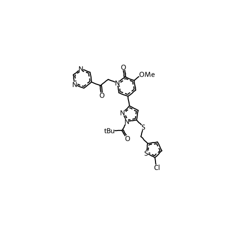 COc1cc(-c2cc(SCc3ccc(Cl)s3)n(C(=O)C(C)(C)C)n2)cn(CC(=O)c2cncnc2)c1=O